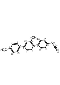 Cc1ccc(-c2ccc(-c3ccc(SC#N)cc3)c(C)c2)cc1